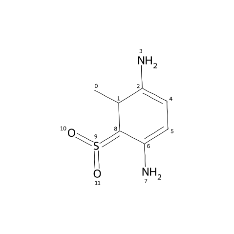 CC1C(N)=CC=C(N)C1=S(=O)=O